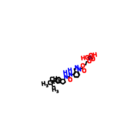 CC(C)(C)c1ccc2c(c1)CC[C@H]2NC(=O)Nc1cccc2c1cnn2C(=O)OCCOP(=O)(O)O